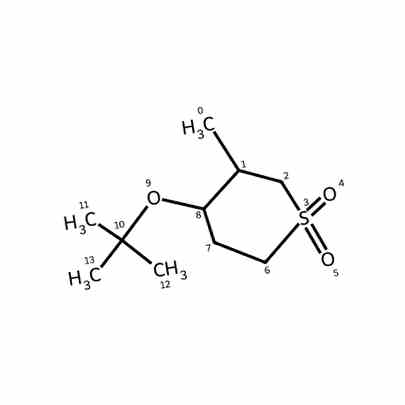 CC1CS(=O)(=O)CCC1OC(C)(C)C